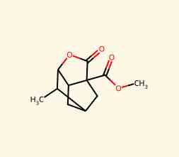 COC(=O)C12CC3CC1C(OC2=O)C3C